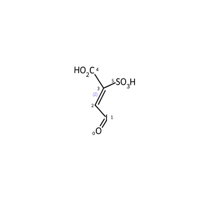 O=I/C=C(/C(=O)O)S(=O)(=O)O